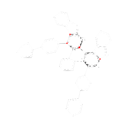 c1ccc(-c2ccc(-c3nc(-c4ccccc4-c4ccccc4-c4ccccc4-c4nc(-c5ccc(-c6ccccc6)cc5)c5c(n4)oc4ccccc45)c4c(n3)oc3ccccc34)cc2)cc1